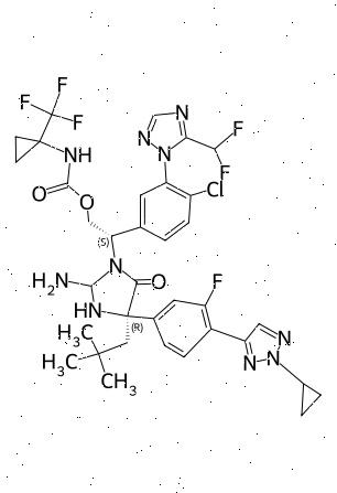 CC(C)(C)C[C@]1(c2ccc(-c3cnn(C4CC4)n3)c(F)c2)NC(N)N([C@H](COC(=O)NC2(C(F)(F)F)CC2)c2ccc(Cl)c(-n3ncnc3C(F)F)c2)C1=O